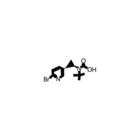 CC(C)(C)N(C(=O)O)[C@@H]1C[C@H]1c1ccc(Br)nc1